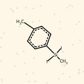 Cc1ccc([Si](C)(I)I)cc1